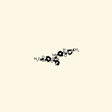 C=CC(=O)Nc1cccc(Oc2nc(Nc3ccc(NC(=O)N4CCN(C)CC4)cc3)nc3ccsc23)c1